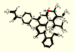 C=Cc1ccccc1-c1nc2c(cc1Cl)c(N1CCN(C(=O)C(=C)F)C[C@@H]1C)nc(=O)n2C(/C(=N\C)C(C)C)=C(/N=C)C(C)C